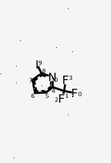 FC(F)(F)c1cccc(I)n1